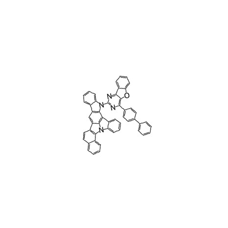 c1ccc(-c2ccc(-c3nc(-n4c5ccccc5c5cc6c7ccc8ccccc8c7n7c8ccccc8c(c54)c67)nc4c3oc3ccccc34)cc2)cc1